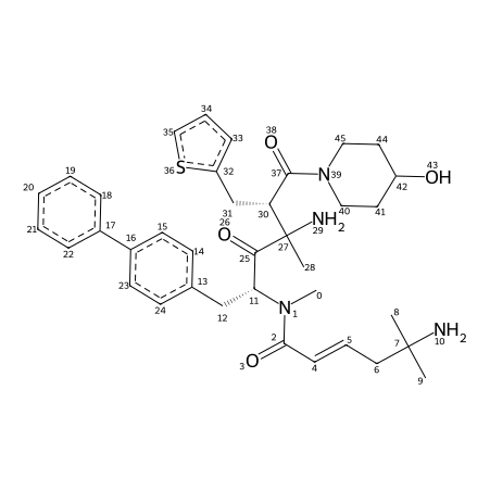 CN(C(=O)/C=C/CC(C)(C)N)[C@H](Cc1ccc(-c2ccccc2)cc1)C(=O)C(C)(N)[C@H](Cc1cccs1)C(=O)N1CCC(O)CC1